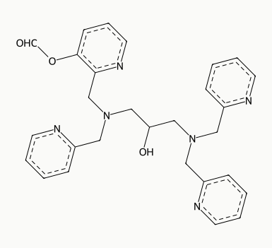 O=COc1cccnc1CN(Cc1ccccn1)CC(O)CN(Cc1ccccn1)Cc1ccccn1